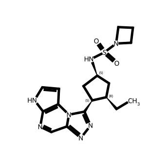 CC[C@@H]1C[C@H](NS(=O)(=O)N2CCC2)C[C@@H]1c1nnc2cnc3[nH]ccc3n12